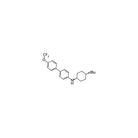 CC(C)(C)[C@H]1CC[C@@H](Nc2ccc(-c3ccc(OC(F)(F)F)cc3)cc2)CC1